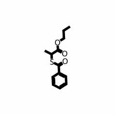 CCCOC(=O)C(C)SC(=O)c1ccccc1